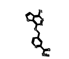 CCc1nnc(OCc2ccnc(C(=O)NC)c2)c2occc12